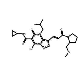 COCC1CCCN1C(=O)C=Cc1cnn2c(O)c(C(=O)NC3CC3)c(=O)n(CC(C)C)c12